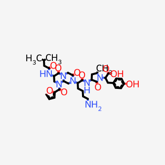 CC(C)CC(=O)NC1CN(C(=O)c2ccco2)C2CN(C(CCCCN)C(=O)NC3CC(C)N(C(Cc4ccc(O)cc4)C(=O)O)C3=O)C(=O)CN2C1=O